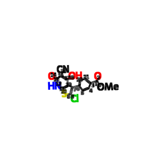 COC(=O)c1ccc(-c2c(Cl)sc3[nH]c(=O)c(C#N)c(O)c23)cc1